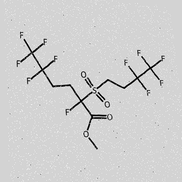 COC(=O)C(F)(CCC(F)(F)C(F)(F)F)S(=O)(=O)CCC(F)(F)C(F)(F)F